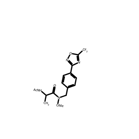 CON(Cc1ccc(-c2noc(C(F)(F)F)n2)cc1)C(=O)C(C)NC(C)=O